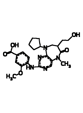 COc1cc(C(=O)O)ccc1Nc1ncc2c(n1)N(C1CCCC1)CC(CCO)C(=O)N2C